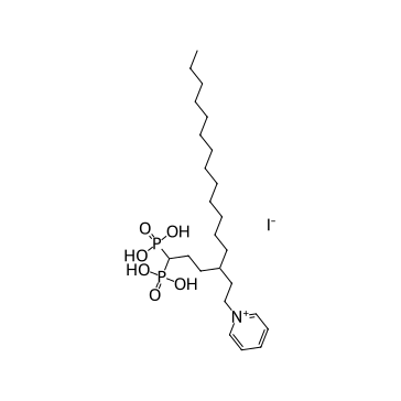 CCCCCCCCCCCCCC(CCC(P(=O)(O)O)P(=O)(O)O)CC[n+]1ccccc1.[I-]